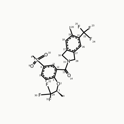 C[C@H](Oc1ccc(S(C)(=O)=O)cc1C(=O)N1Cc2cc(I)c(C(F)(F)F)cc2C1)C(F)(F)F